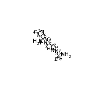 Cc1nc2sc(C(=O)NC3CCc4nc(N5CC(N)C(C(F)F)C5)ccc4C3)c(N)c2cc1F